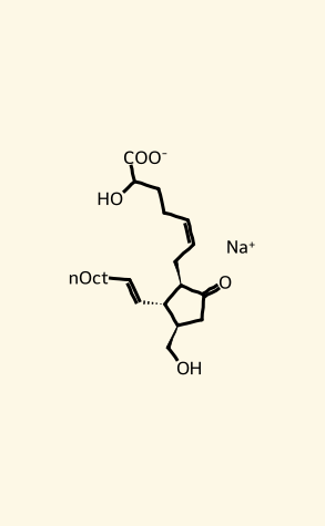 CCCCCCCC/C=C/[C@H]1[C@H](CO)CC(=O)[C@@H]1C/C=C\CCC(O)C(=O)[O-].[Na+]